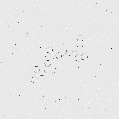 c1ccc2c(c1)-c1cccc3c(-c4ccc(-n5c6ccccc6c6cc(-c7ccc8c(c7)c7ccc9ccccc9c7n8-c7ccc8ccccc8c7)ccc65)cc4)ccc-2c13